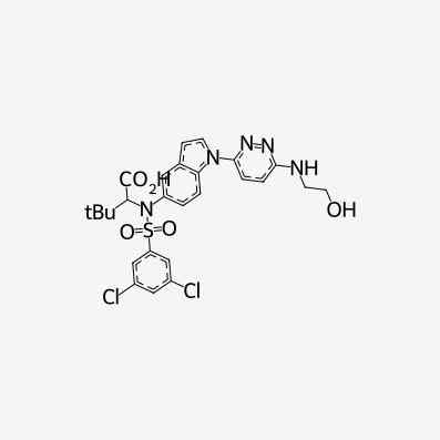 CC(C)(C)C(C(=O)O)N(c1ccc2c(ccn2-c2ccc(NCCO)nn2)c1)S(=O)(=O)c1cc(Cl)cc(Cl)c1